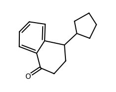 O=C1CCC(C2CCCC2)c2ccccc21